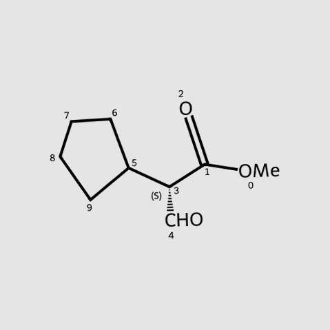 COC(=O)[C@H](C=O)C1CCCC1